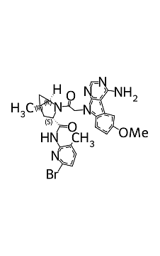 COc1ccc2c(c1)c1c(N)ncnc1n2CC(=O)N1[C@H](C(=O)Nc2nc(Br)ccc2C)C[C@@]2(C)C[C@@H]12